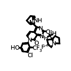 [2H]C([2H])(Oc1nc(N2CC3CCC2CN3)c2ccn(-c3cc(O)cc(Cl)c3C(F)(F)F)c(=O)c2n1)[C@@]12CCCN1C[C@H](F)C2